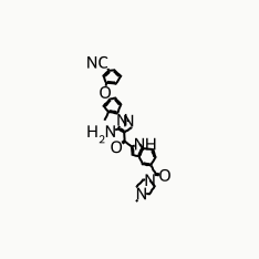 Cc1cc(Oc2cccc(C#N)c2)ccc1-n1ncc(C(=O)c2cc3cc(C(=O)N4CCN(C)CC4)ccc3[nH]2)c1N